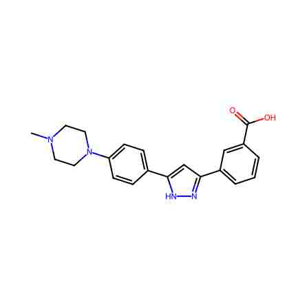 CN1CCN(c2ccc(-c3cc(-c4cccc(C(=O)O)c4)n[nH]3)cc2)CC1